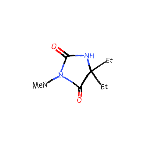 CCC1(CC)NC(=O)N(NC)C1=O